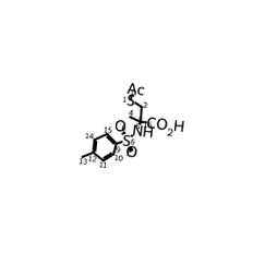 CC(=O)SCC(C)(NS(=O)(=O)c1ccc(C)cc1)C(=O)O